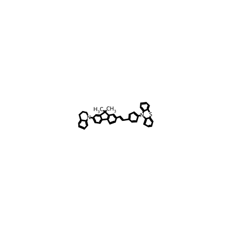 CC1(C)c2cc(/C=C/c3ccc(N4c5ccccc5Sc5ccccc54)cc3)ccc2-c2ccc(N3CCCc4ccccc43)cc21